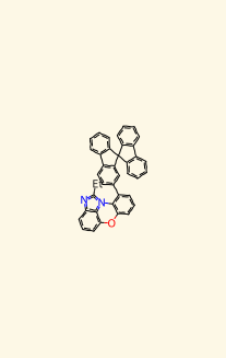 CCc1nc2cccc3c2n1-c1c(cccc1-c1ccc2c(c1)C1(c4ccccc4-c4ccccc41)c1ccccc1-2)O3